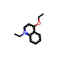 CCOc1cc[n+](CC)c2ccccc12